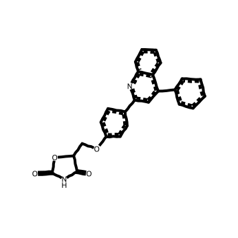 O=C1NC(=O)C(COc2ccc(-c3cc(-c4ccccc4)c4ccccc4n3)cc2)O1